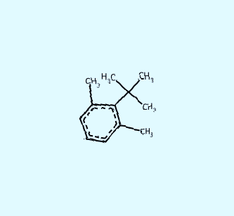 Cc1c[c]cc(C)c1C(C)(C)C